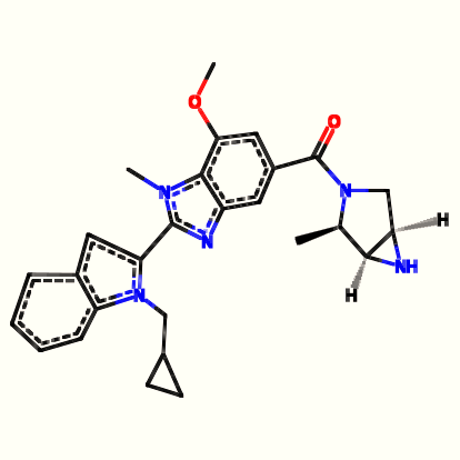 COc1cc(C(=O)N2C[C@H]3N[C@H]3[C@H]2C)cc2nc(-c3cc4ccccc4n3CC3CC3)n(C)c12